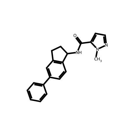 Cn1nccc1C(=O)NC1CCc2cc(-c3ccccc3)ccc21